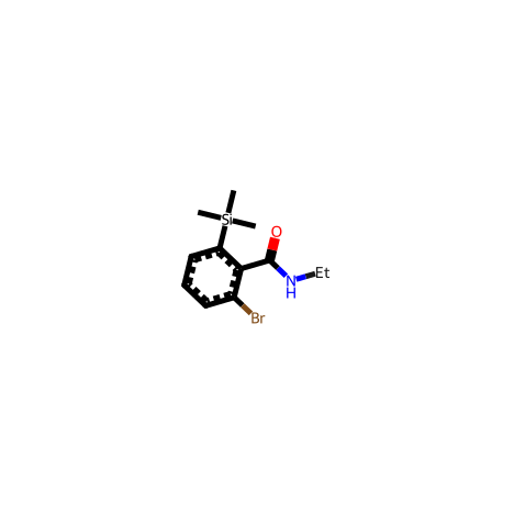 CCNC(=O)c1c(Br)cccc1[Si](C)(C)C